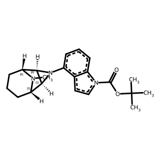 CN1[C@@H]2CCC[C@H]1[C@H]1[C@@H]2N1c1cccc2c1ccn2C(=O)OC(C)(C)C